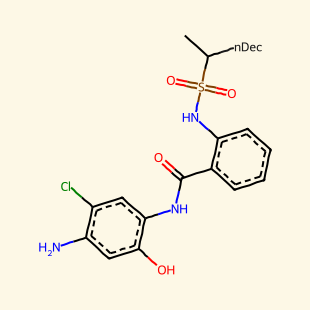 CCCCCCCCCCC(C)S(=O)(=O)Nc1ccccc1C(=O)Nc1cc(Cl)c(N)cc1O